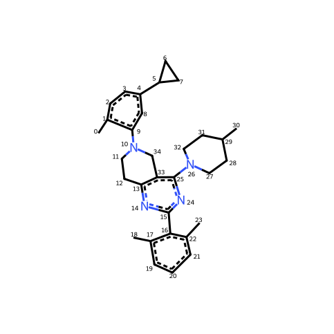 Cc1ccc(C2CC2)cc1N1CCc2nc(-c3c(C)cccc3C)nc(N3CCC(C)CC3)c2C1